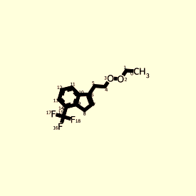 CCOOCCC1=CCc2c1cccc2C(F)(F)F